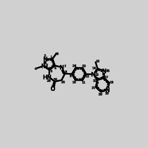 Cc1nn(C)c2c1N=C(c1ccc(-n3c(C)nc4cnccc43)cc1)CC(=O)N2